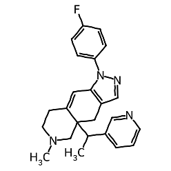 CC(c1cccnc1)C12Cc3cnn(-c4ccc(F)cc4)c3C=C1CCN(C)C2